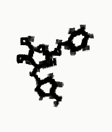 O=C(N[C@@H](Cc1ccc(F)cc1)C(=O)CCl)OCc1ccccc1